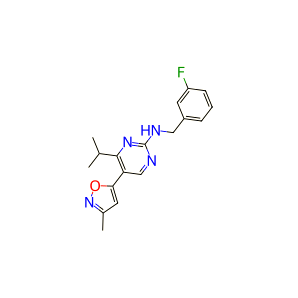 Cc1cc(-c2cnc(NCc3cccc(F)c3)nc2C(C)C)on1